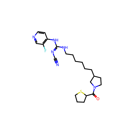 N#CN=C(NCCCCCCC1CCN(C(=O)C2CCCS2)C1)Nc1ccncc1F